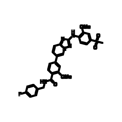 COc1cc(S(C)(=O)=O)ccc1Nc1nc2ccc(-c3ccc(C(=O)NCc4ccc(F)cc4)c(OC)c3)cn2n1